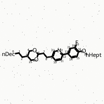 CCCCCCCCCCCCC1COC(CCc2ccc(-c3ccc(OCCCCCCC)c(F)c3)nc2)OC1